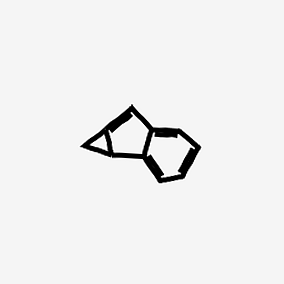 [C]1=C2CC2c2ccccc21